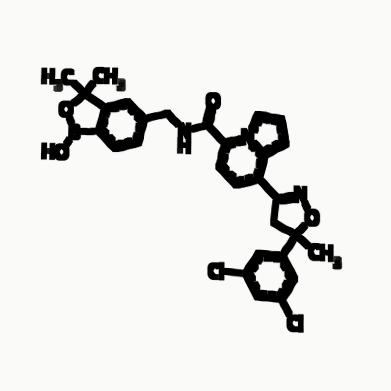 CC1(C)OB(O)c2ccc(CNC(=O)c3ccc(C4=NOC(C)(c5cc(Cl)cc(Cl)c5)C4)c4cccn34)cc21